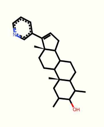 CC1C[C@@]2(C)C(CCC3C2CC[C@]2(C)C(c4cccnc4)=CCC32)C(C)C1O